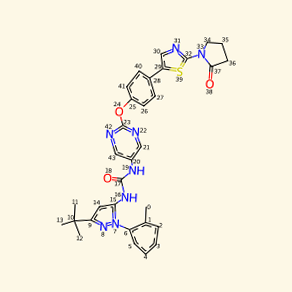 Cc1ccccc1-n1nc(C(C)(C)C)cc1NC(=O)Nc1cnc(Oc2ccc(-c3cnc(N4CCCC4=O)s3)cc2)nc1